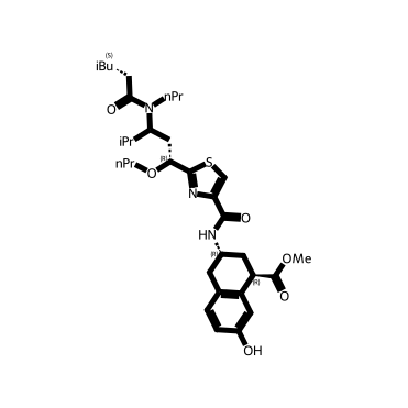 CCCO[C@H](CC(C(C)C)N(CCC)C(=O)C[C@@H](C)CC)c1nc(C(=O)N[C@H]2Cc3ccc(O)cc3[C@H](C(=O)OC)C2)cs1